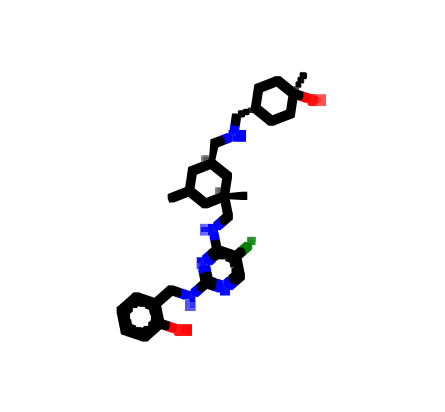 CC1C[C@@H](CNC[C@H]2CC[C@](C)(O)CC2)C[C@](C)(CNc2nc(NCc3ccccc3O)ncc2F)C1